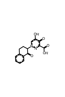 O=C(O)c1nn(C2CCc3ccccc3C2=O)cc(O)c1=O